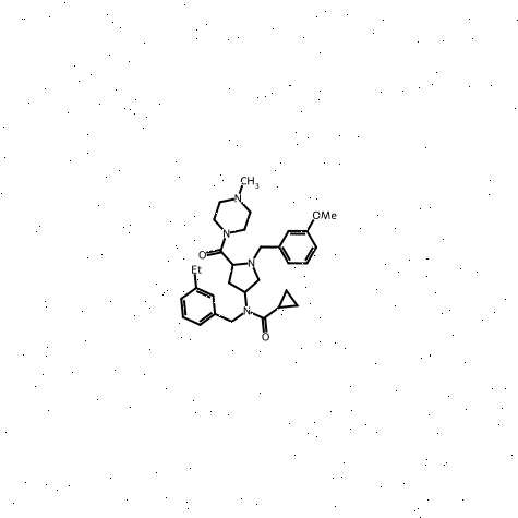 CCc1cccc(CN(C(=O)C2CC2)C2CC(C(=O)N3CCN(C)CC3)N(Cc3cccc(OC)c3)C2)c1